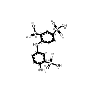 Nc1ccc(Nc2ccc(S(=O)(=O)O)cc2[N+](=O)[O-])cc1S(=O)(=O)O